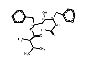 CC(C)C(N)C(=O)N[C@@H](Cc1ccccc1)C[C@H](O)[C@H](Cc1ccccc1)NC(=O)O